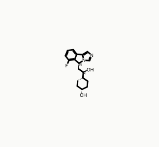 O[C@H](C[C@H]1c2c(F)cccc2-c2cncn21)[C@H]1CC[C@@H](O)CC1